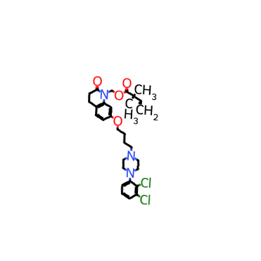 C=CC(C)(C)C(=O)OCN1C(=O)CCc2ccc(OCCCCN3CCN(c4cccc(Cl)c4Cl)CC3)cc21